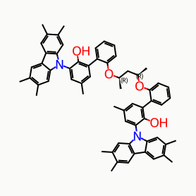 Cc1cc(-c2ccccc2O[C@H](C)C[C@@H](C)Oc2ccccc2-c2cc(C)cc(-n3c4cc(C)c(C)cc4c4cc(C)c(C)cc43)c2O)c(O)c(-n2c3cc(C)c(C)cc3c3cc(C)c(C)cc32)c1